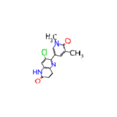 Cc1cc(-c2nc3c(cc2Cl)NC(=O)CC3)cn(C)c1=O